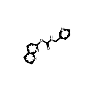 O=C(NCc1cccnc1)Oc1ccc2cccnc2n1